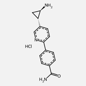 Cl.NC(=O)c1ccc(-c2ccc([C@@H]3C[C@H]3N)cn2)cc1